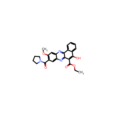 CCOC(=O)c1c(O)c2ccccc2c2nc3cc(OC)c(C(=O)N4CCCC4)cc3nc12